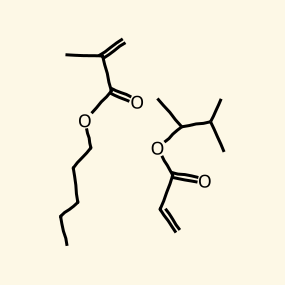 C=C(C)C(=O)OCCCCC.C=CC(=O)OC(C)C(C)C